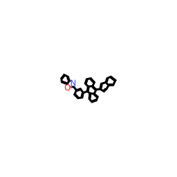 c1cc(-c2nc3ccccc3o2)cc(-c2c3ccccc3c(-c3ccc4ccccc4c3)c3ccccc23)c1